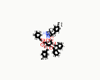 CCc1ccc(Cc2c(O[C@@H]3OC(C(=O)OCc4ccccc4)[C@@H](OCc4ccccc4)[C@H](OCc4ccccc4)[C@H]3OCc3ccccc3)n[nH]c2C(F)(F)F)cc1